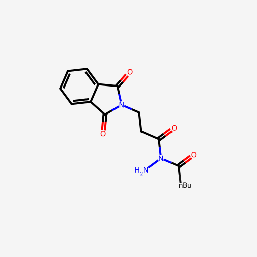 CCCCC(=O)N(N)C(=O)CCN1C(=O)c2ccccc2C1=O